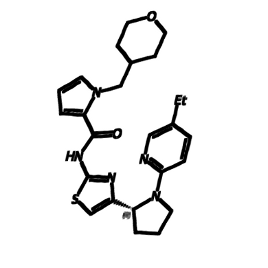 CCc1ccc(N2CCC[C@@H]2c2csc(NC(=O)c3cccn3CC3CCOCC3)n2)nc1